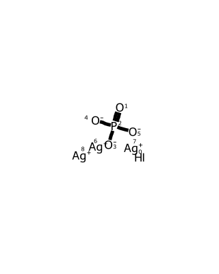 I.O=P([O-])([O-])[O-].[Ag+].[Ag+].[Ag+]